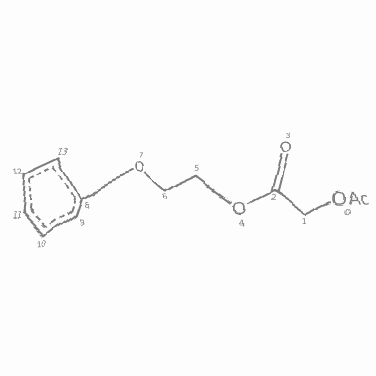 CC(=O)OCC(=O)OCCOc1ccccc1